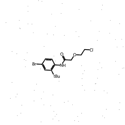 CC(C)(C)c1cc(Br)ccc1NC(=O)COCCCl